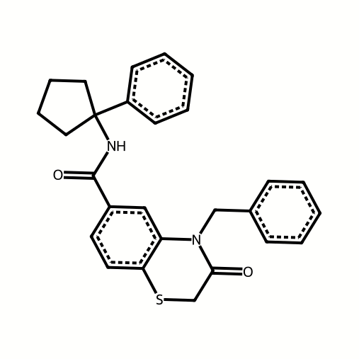 O=C(NC1(c2ccccc2)CCCC1)c1ccc2c(c1)N(Cc1ccccc1)C(=O)CS2